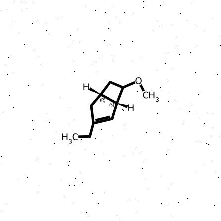 CCC1=C[C@H]2C(OC)C[C@H]2C1